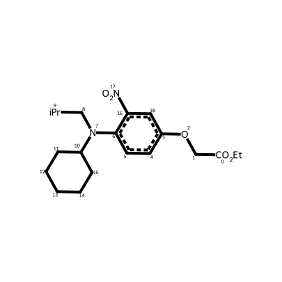 CCOC(=O)COc1ccc(N(CC(C)C)C2CCCCC2)c([N+](=O)[O-])c1